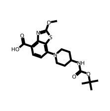 COc1nc2c(C(=O)O)ccc(N3CCC(NC(=O)OC(C)(C)C)CC3)c2s1